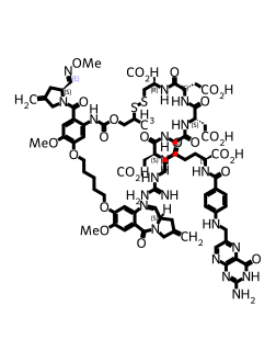 C=C1C[C@H]2C=Nc3cc(OCCCCCOc4cc(NC(=O)OCC(C)SSC[C@H](NC(=O)[C@H](CC(=O)O)NC(=O)[C@H](CC(=O)O)NC(=O)[C@H](CCCNC(=N)N)NC(=O)[C@H](CC(=O)O)NC(=O)CC[C@H](NC(=O)c5ccc(NCc6cnc7nc(N)[nH]c(=O)c7n6)cc5)C(=O)O)C(=O)O)c(C(=O)N5CC(=C)C[C@H]5/C=N/OC)cc4OC)c(OC)cc3C(=O)N2C1